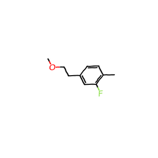 COCCc1ccc(C)c(F)c1